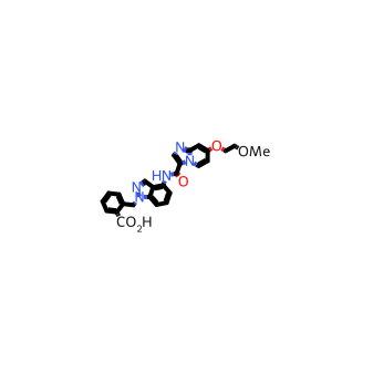 COCCOc1ccn2c(C(=O)Nc3cccc4c3cnn4Cc3ccccc3C(=O)O)cnc2c1